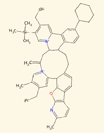 C=C1CC2C(CCc3ccc4c(oc5nc(C)ccc54)c3-c3cc(CC(C)C)c(C)c[n+]31)c1ccc(C3CCCCC3)cc1-c1cc(CC(C)(C)C)c([Si](C)(C)C)c[n+]12